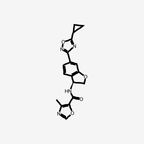 Cc1ncoc1C(=O)N[C@@H]1COc2cc(-c3noc(C4CC4)n3)ccc21